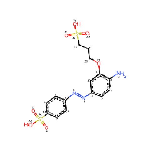 Nc1ccc(N=Nc2ccc(S(=O)(=O)O)cc2)cc1OCCCS(=O)(=O)O